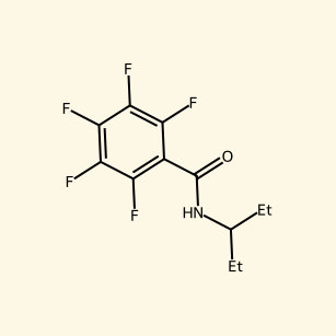 CCC(CC)NC(=O)c1c(F)c(F)c(F)c(F)c1F